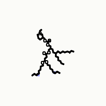 CC[CH]CCCCCC(CCCCCC)CCC(COC(=O)CCC(OCCCC/C=C\CC)OCCCC/C=C\CC)COC(=O)OCC1CCCN(CC)C1